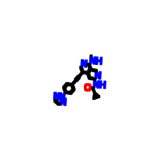 CNc1ncc(C#Cc2ccc(-n3nccn3)cc2)c2cc(NC(=O)C3CC3)ncc12